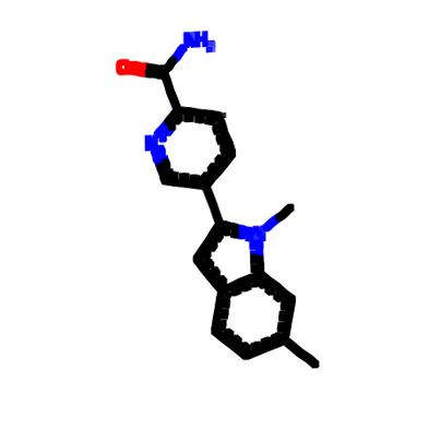 Cc1ccc2cc(-c3c[c]c(C(N)=O)nc3)n(C)c2c1